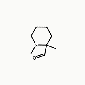 CN1CCCCC1(C)C=O